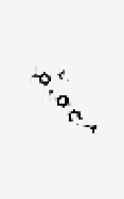 O=C(Nc1ccc(Oc2ccnc(NC(=O)C3CC3)c2)cc1)Nc1cc(OC2CNC2)cc(C(F)(F)F)c1